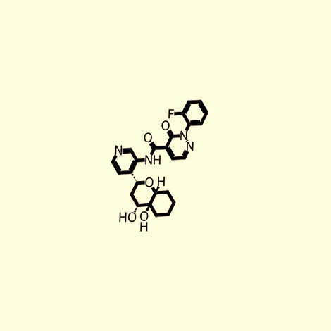 O=C(Nc1cnccc1[C@H]1C[C@@H](O)[C@@]2(O)CCCC[C@H]2O1)c1ccnn(-c2ccccc2F)c1=O